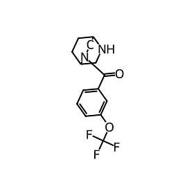 O=C(c1cccc(OC(F)(F)F)c1)N1CC2CCC1CN2